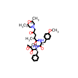 COc1ccc(C[C@H](NC(=O)[C@H](C)CC(=O)CN2C[C@@H](C)O[C@@H](C)C2)C(=O)N[C@@H](Cc2ccccc2)C(=O)[C@@]2(C)CO2)cc1